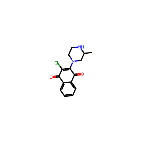 CC1CN(C2=C(Cl)C(=O)c3ccccc3C2=O)CCN1